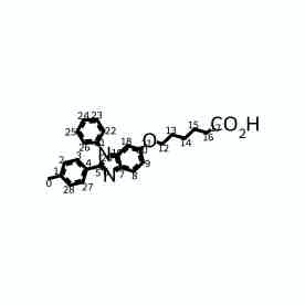 Cc1ccc(-c2nc3ccc(OCCCCCC(=O)O)cc3n2-c2ccccc2)cc1